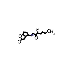 CCCCC(F)C(=O)/C=C/C1CCC2OC(=O)CC12